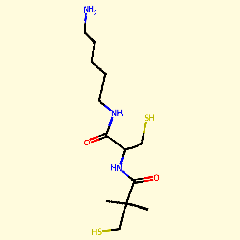 CC(C)(CS)C(=O)NC(CS)C(=O)NCCCCCN